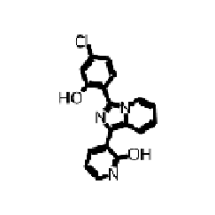 Oc1cc(Cl)ccc1-c1nc(-c2cccnc2O)c2ccccn12